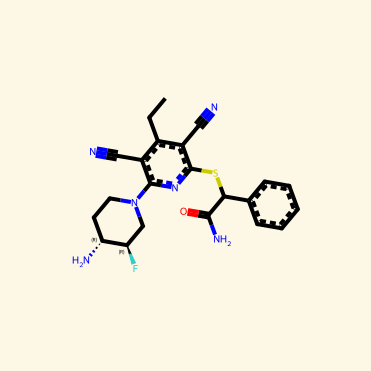 CCc1c(C#N)c(SC(C(N)=O)c2ccccc2)nc(N2CC[C@@H](N)[C@H](F)C2)c1C#N